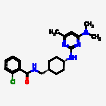 Cc1cc(N(C)C)nc(N[C@H]2CC[C@@H](CNC(=O)c3ccccc3Cl)CC2)n1